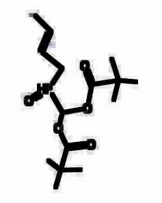 [CH2]/C=C/C[PH](=O)C(OC(=O)C(C)(C)C)OC(=O)C(C)(C)C